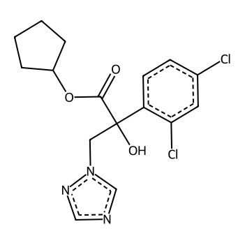 O=C(OC1CCCC1)C(O)(Cn1cncn1)c1ccc(Cl)cc1Cl